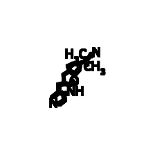 CC(C)(C#N)c1ccc(Cc2cc3cnccc3[nH]c2=O)cc1